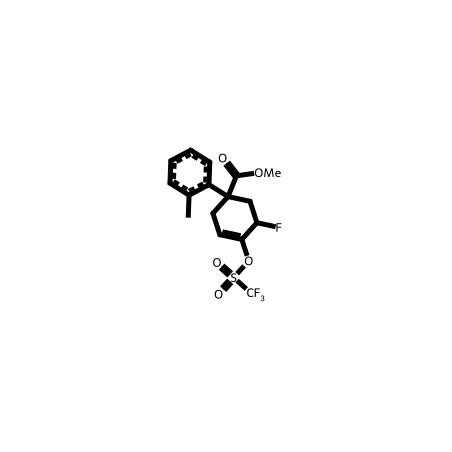 COC(=O)C1(c2ccccc2C)CC=C(OS(=O)(=O)C(F)(F)F)C(F)C1